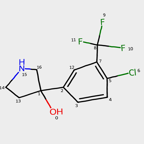 OC1(c2ccc(Cl)c(C(F)(F)F)c2)CCNC1